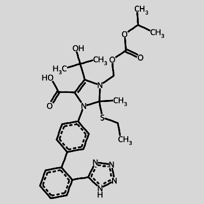 CCSC1(C)N(COC(=O)OC(C)C)C(C(C)(C)O)=C(C(=O)O)N1c1ccc(-c2ccccc2-c2nnn[nH]2)cc1